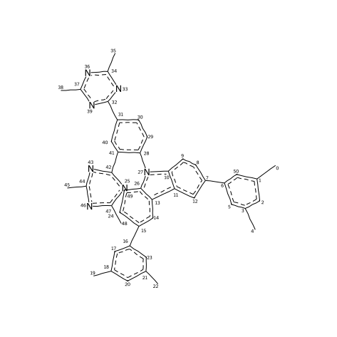 Cc1cc(C)cc(-c2ccc3c(c2)c2cc(-c4cc(C)cc(C)c4)ccc2n3-c2ccc(-c3nc(C)nc(C)n3)cc2-c2nc(C)nc(C)n2)c1